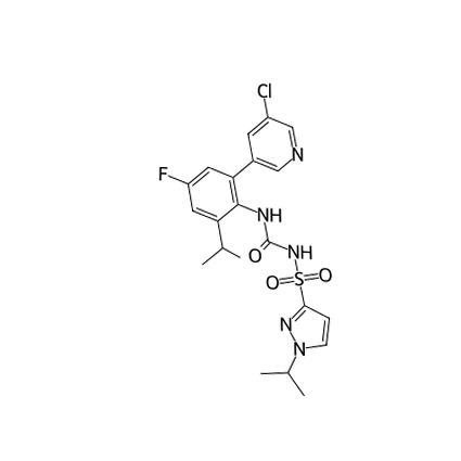 CC(C)c1cc(F)cc(-c2cncc(Cl)c2)c1NC(=O)NS(=O)(=O)c1ccn(C(C)C)n1